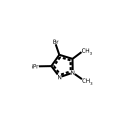 Cc1c(Br)c(C(C)C)nn1C